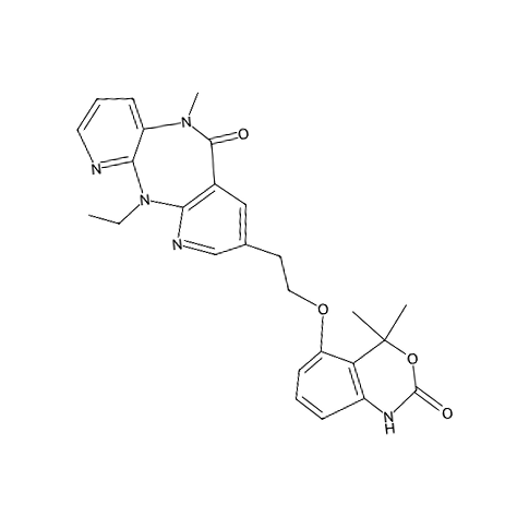 CCN1c2ncc(CCOc3cccc4c3C(C)(C)OC(=O)N4)cc2C(=O)N(C)c2cccnc21